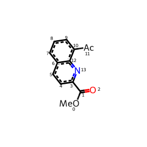 COC(=O)c1ccc2cccc(C(C)=O)c2n1